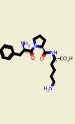 NCCCC[C@H](NC(=O)[C@@H]1CCCN1C(=O)[C@H](N)Cc1ccccc1)C(=O)O